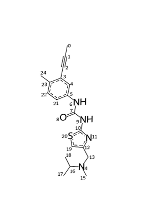 CC#Cc1cc(NC(=O)Nc2nc(CN(C)C(C)C)cs2)ccc1C